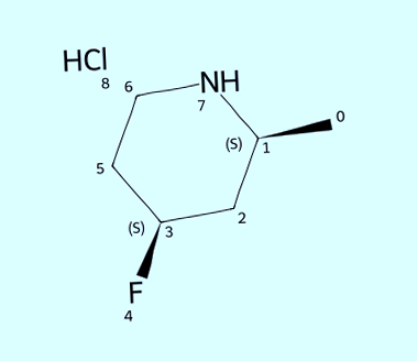 C[C@H]1C[C@@H](F)CCN1.Cl